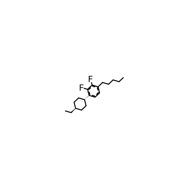 CCCCCc1ccc([C@H]2CC[C@H](CC)CC2)c(F)c1F